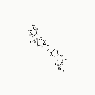 CC(C)(C[C@H]1CC[C@H](CCN2CCC(C(=O)c3ccc(Cl)cc3)CC2)CC1)OC(N)=O